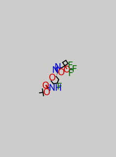 CC(C)(C)OC(=O)N[C@H]1CO[C@H](c2nnc(C3(OC(F)(F)F)CCC3)o2)C[C@@H]1F